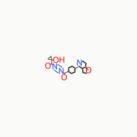 O=C(c1ccc(-c2nccc3occc23)cc1)N1CCN(C(=O)C2(O)CC2)CC1